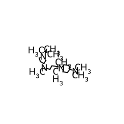 CN(C)C1CCN(C(C)(C)CCN(C)C2CCN(C(C)(C)C)C2)CC1